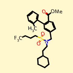 COC(=O)c1ccc(CN(CCC2CCCCC2)S(=O)(=O)CCCC(F)(F)F)cc1-c1ccccc1C